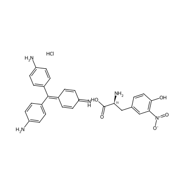 Cl.N=C1C=CC(=C(c2ccc(N)cc2)c2ccc(N)cc2)C=C1.N[C@@H](Cc1ccc(O)c([N+](=O)[O-])c1)C(=O)O